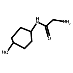 NCC(=O)NC1CCC(O)CC1